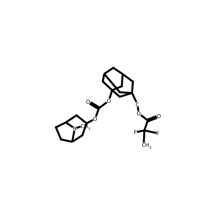 CN1C2CCC1CC(OC(=O)OC13CC4CC(CC(COC(=O)C(C)(F)F)(C4)C1)C3)C2